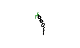 CCCCCCCC1CCC(c2ccc(-c3ccc(F)c(F)c3)cc2)CC1